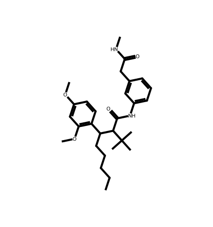 CCCCCC(c1ccc(OC)cc1OC)C(C(=O)Nc1cccc(CC(=O)NC)c1)C(C)(C)C